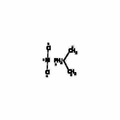 CCC.P.[Cl][Ni][Cl]